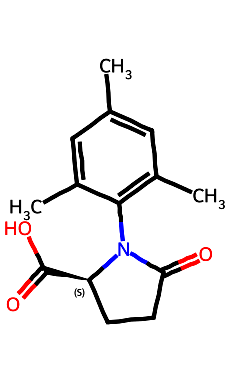 Cc1cc(C)c(N2C(=O)CC[C@H]2C(=O)O)c(C)c1